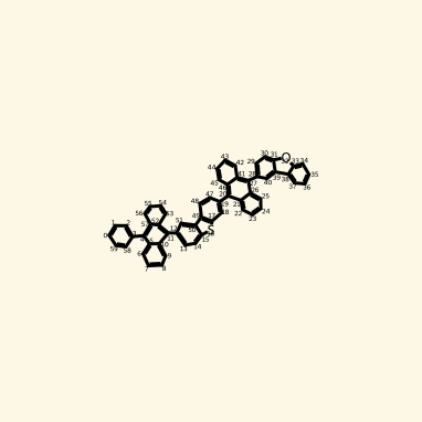 c1ccc(-c2c3ccccc3c(-c3ccc4sc5cc(-c6c7ccccc7c(-c7ccc8oc9ccccc9c8c7)c7ccccc67)ccc5c4c3)c3ccccc23)cc1